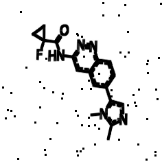 Cc1ncc(-c2ccc3nnc(NC(=O)C4(F)CC4)cc3c2)n1C